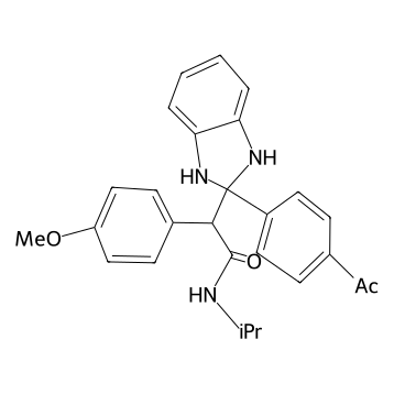 COc1ccc(C(C(=O)NC(C)C)C2(c3ccc(C(C)=O)cc3)Nc3ccccc3N2)cc1